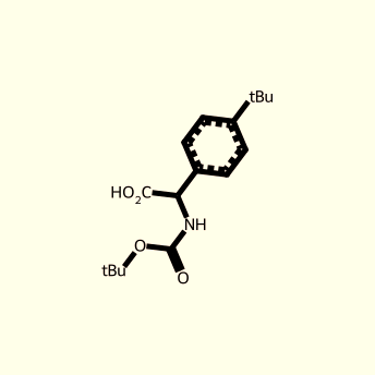 CC(C)(C)OC(=O)NC(C(=O)O)c1ccc(C(C)(C)C)cc1